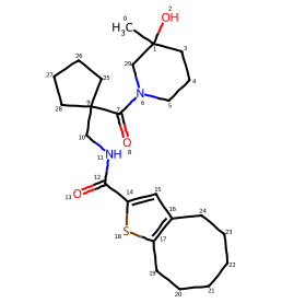 CC1(O)CCCN(C(=O)C2(CNC(=O)c3cc4c(s3)CCCCCC4)CCCC2)C1